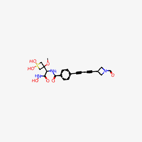 COC1(C(NC(=O)c2ccc(C#CC#CC3CN(C=O)C3)cc2)C(=O)NO)CS(O)(O)C1